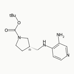 CC(C)(C)OC(=O)N1CC[C@@H](CNc2ccncc2N)C1